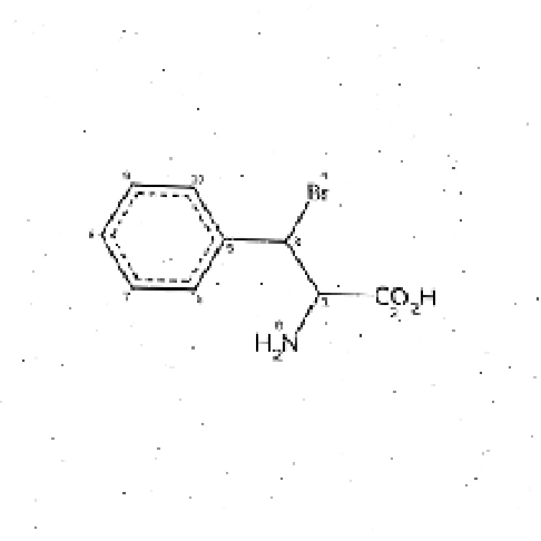 NC(C(=O)O)C(Br)c1ccccc1